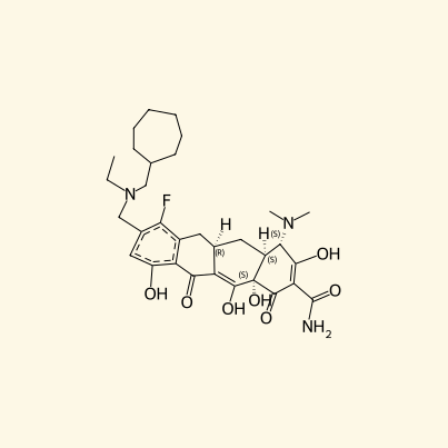 CCN(Cc1cc(O)c2c(c1F)C[C@H]1C[C@H]3[C@H](N(C)C)C(O)=C(C(N)=O)C(=O)[C@@]3(O)C(O)=C1C2=O)CC1CCCCCC1